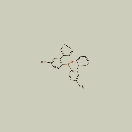 Cc1ccc([S+]([O-])c2ccc(C)cc2-c2ccccc2)c(-c2ccccc2)c1